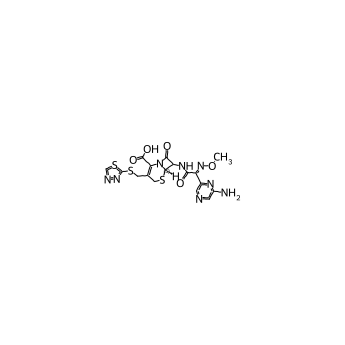 CON=C(C(=O)NC1C(=O)N2C(C(=O)O)=C(CSc3nncs3)CS[C@@H]12)c1cncc(N)n1